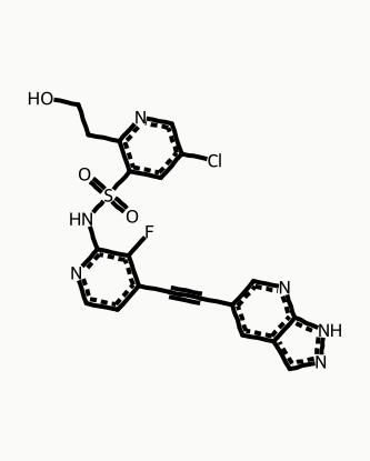 O=S(=O)(Nc1nccc(C#Cc2cnc3[nH]ncc3c2)c1F)c1cc(Cl)cnc1CCO